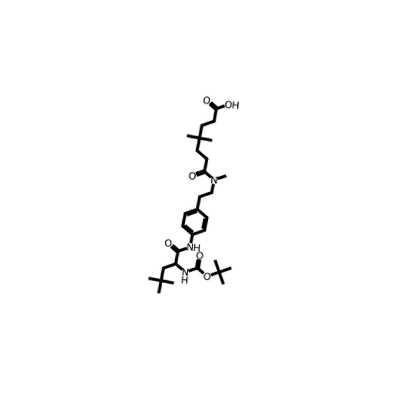 CN(CCc1ccc(NC(=O)C(CC(C)(C)C)NC(=O)OC(C)(C)C)cc1)C(=O)CCC(C)(C)CCC(=O)O